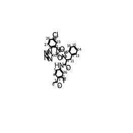 CC(=O)c1ccc(NC(=O)C(Cc2ccccc2)N2CON(c3cc(Cl)ccc3-n3cnnn3)CO2)cc1F